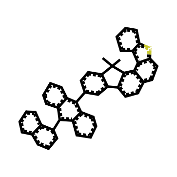 CC1(C)c2ccc(-c3c4ccccc4c(-c4cccc5ccccc45)c4ccccc34)cc2-c2ccc3ccc4sc5ccccc5c4c3c21